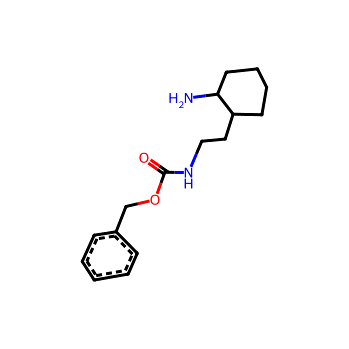 NC1CCCCC1CCNC(=O)OCc1ccccc1